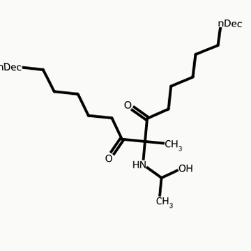 CCCCCCCCCCCCCCCC(=O)C(C)(NC(C)O)C(=O)CCCCCCCCCCCCCCC